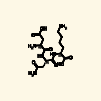 NCCCC[C@H](NC(=O)[C@H](CC(N)=O)NC(=O)[C@@H](N)CC(=O)O)C(=O)O